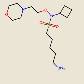 NCCCCCS(=O)(=O)N(OCCN1CCOCC1)C1CCC1